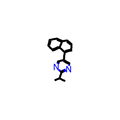 CC(C)c1ncc(-c2cccc3ccccc23)cn1